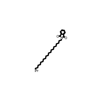 CC(C)CCCCCCCCCCCCCCCCCCCCN1C(=O)c2ccccc2C1=O